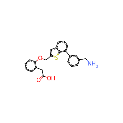 NCc1cccc(-c2cccc3cc(COc4ccccc4CC(=O)O)sc23)c1